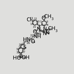 COc1ccc2c(c1)C(c1ccc(Cl)cc1)=N[C@@H](CC(=O)NCC(=O)NCCc1cc3ccc(B(O)O)cc3s1)c1nnc(C)n1-2